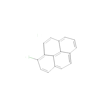 Cl.Clc1ccc2ccc3cccc4ccc1c2c34